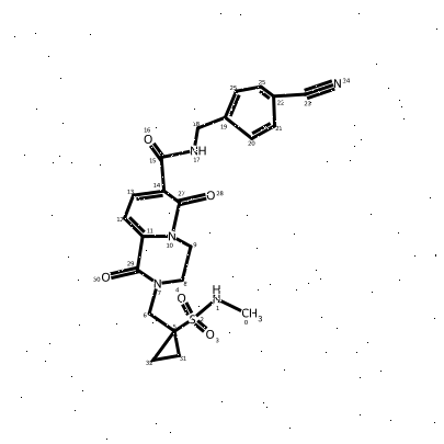 CNS(=O)(=O)C1(CN2CCn3c(ccc(C(=O)NCc4ccc(C#N)cc4)c3=O)C2=O)CC1